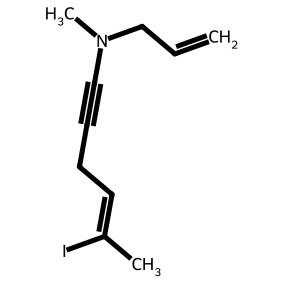 C=CCN(C)C#CC/C=C(/C)I